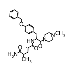 CC(C[CH]C(=O)NC(Cc1ccc(OCc2ccccc2)cc1)C(=O)N1CCN(C)CC1)C(N)=O